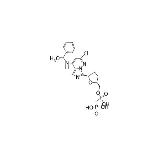 C[C@H](Nc1cc(Cl)nn2c([C@H]3CC[C@@H](COP(=O)(O)CP(=O)(O)O)O3)ncc12)c1ccccc1